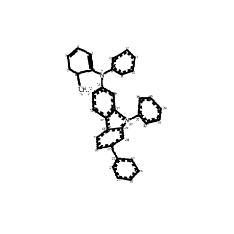 CC1CC=CC=C1N(c1ccccc1)c1ccc2c3ccc(-c4ccccc4)cc3n(-c3ccccc3)c2c1